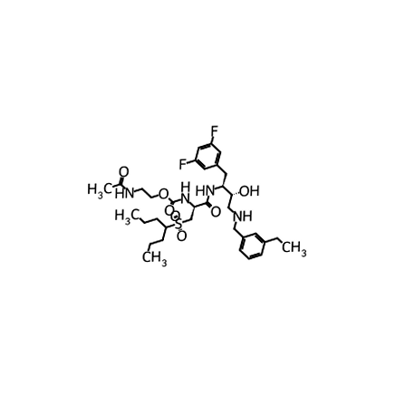 CCCC(CCC)S(=O)(=O)C[C@@H](NC(=O)OCCNC(C)=O)C(=O)N[C@@H](Cc1cc(F)cc(F)c1)[C@H](O)CNCc1cccc(CC)c1